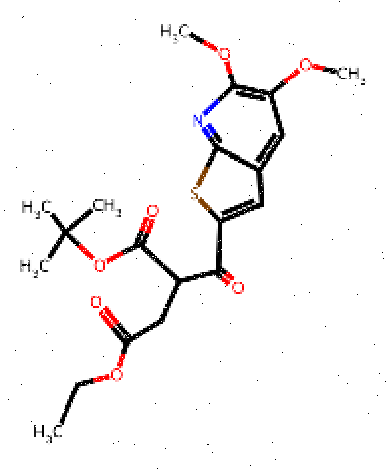 CCOC(=O)CC(C(=O)OC(C)(C)C)C(=O)c1cc2cc(OC)c(OC)nc2s1